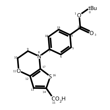 CC(C)(C)OC(=O)c1ccc(N2CCOc3cc(C(=O)O)sc32)cc1